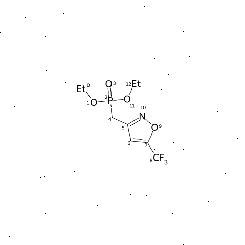 CCOP(=O)(Cc1cc(C(F)(F)F)on1)OCC